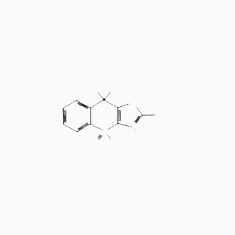 Cc1nc2c(o1)C(C)(C)c1ccccc1P2(C)=O